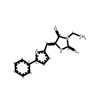 CCN1C(=O)C(=Cc2ccc(-c3ccccc3)o2)SC1=S